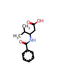 CC(C)C(CC(=O)O)NC(=O)c1ccccc1